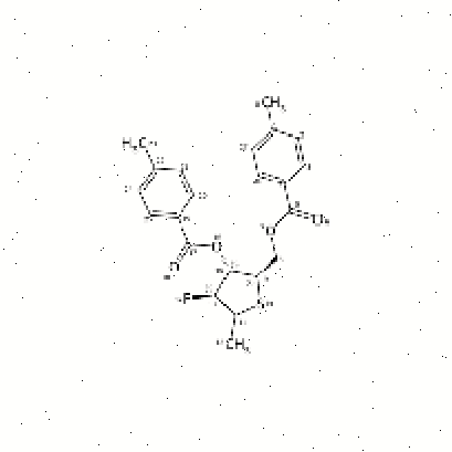 Cc1ccc(C(=O)OC[C@H]2SC(C)[C@@H](F)[C@@H]2OC(=O)c2ccc(C)cc2)cc1